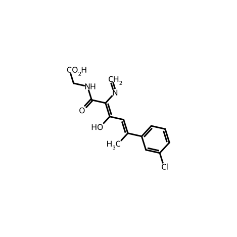 C=N/C(C(=O)NCC(=O)O)=C(O)\C=C(/C)c1cccc(Cl)c1